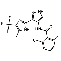 Cc1[nH]c(-c2n[nH]cc2NC(=O)c2c(F)cccc2Cl)nc1C(F)(F)F